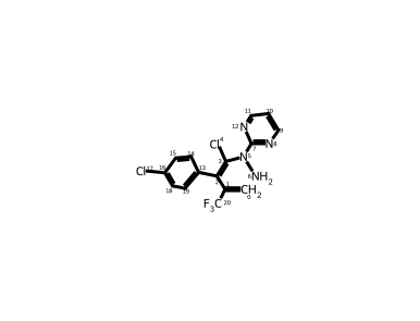 C=C(/C(=C(/Cl)N(N)c1ncccn1)c1ccc(Cl)cc1)C(F)(F)F